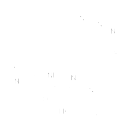 CC(c1nc(C(=O)Nc2cnoc2)c(O)c(=O)n1C)C(c1ccccc1C#N)c1cn(C)nc1F